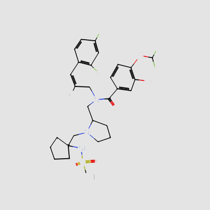 CC(=Cc1ccc(F)cc1F)CN(CC1CCCN1CC1(NS(C)(=O)=O)CCCC1)C(=O)c1ccc(OC(F)F)c(O)c1